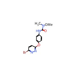 CON(C)C(=O)Nc1ccc(Oc2ccc(Br)nn2)cc1